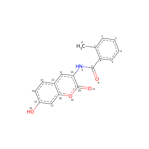 Cc1ccccc1C(=O)Nc1cc2ccc(O)cc2oc1=O